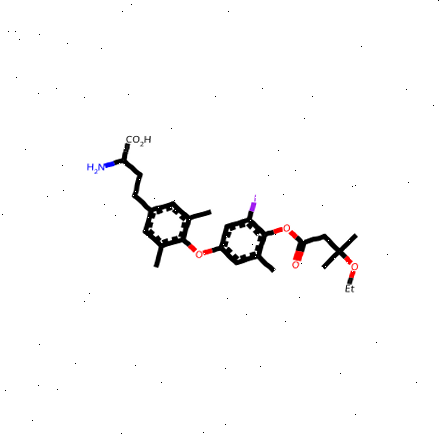 CCOC(C)(C)CC(=O)Oc1c(C)cc(Oc2c(C)cc(CCC(N)C(=O)O)cc2C)cc1I